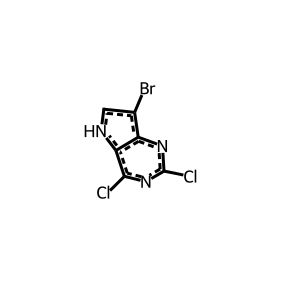 Clc1nc(Cl)c2[nH]cc(Br)c2n1